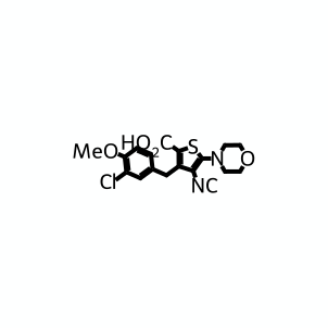 [C-]#[N+]c1c(N2CCOCC2)sc(C(=O)O)c1Cc1ccc(OC)c(Cl)c1